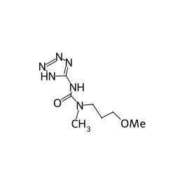 COCCCN(C)C(=O)Nc1nnn[nH]1